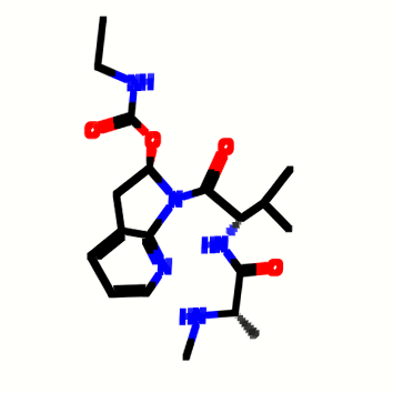 CCNC(=O)O[C@@H]1Cc2cccnc2N1C(=O)[C@@H](NC(=O)[C@H](C)NC)C(C)C